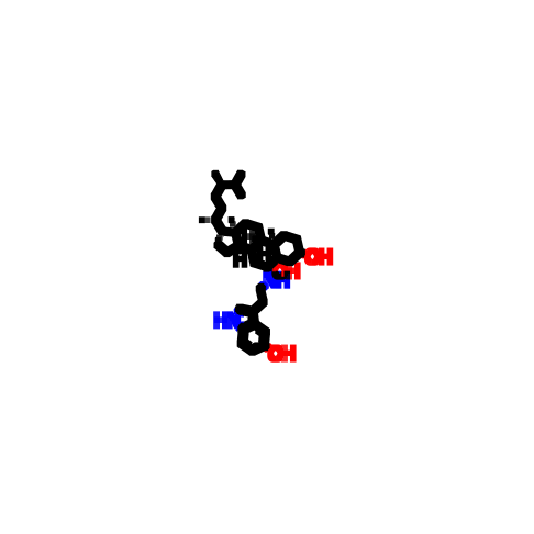 CC(C)[C@H](C)CC[C@@H](C)[C@H]1CC[C@H]2[C@@H]3CC(NCCc4c[nH]c5ccc(O)cc45)C4(O)CC(O)CC[C@]4(C)[C@H]3CC[C@]12C